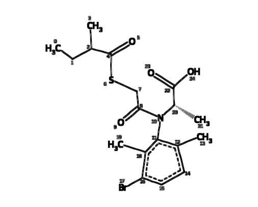 CCC(C)C(=O)SCC(=O)N(c1c(C)ccc(Br)c1C)[C@@H](C)C(=O)O